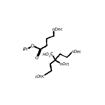 CCCCCCCCCCCCC(CCCCCCCC)(CCCCCCCCCCCC)C(=O)O.CCCCCCCCCCCCCC(=O)OC(C)C